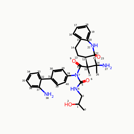 CC(O)CNC(=O)N(C(=O)C(C)([C@H]1CCc2ccccc2NC1=O)C(C)(C)N)c1ccc(-c2ccccc2N)cc1